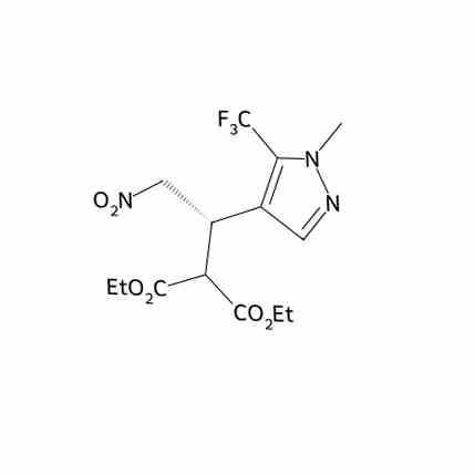 CCOC(=O)C(C(=O)OCC)[C@H](C[N+](=O)[O-])c1cnn(C)c1C(F)(F)F